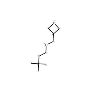 CC(C)(C)CCOCC1COC1